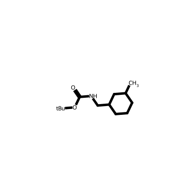 CC1CCCC(CNC(=O)OC(C)(C)C)C1